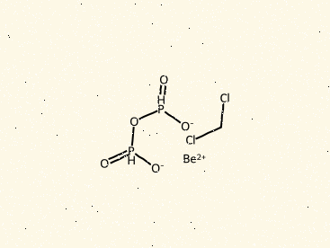 ClCCl.O=[PH]([O-])O[PH](=O)[O-].[Be+2]